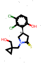 OCC1(CN2C[C@@H](c3c(O)ccc(Cl)c3Cl)CC2=S)CC1